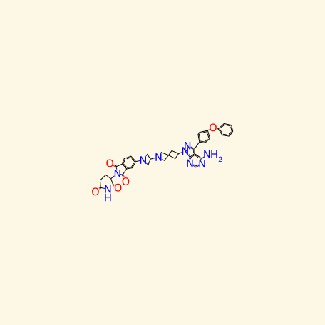 Nc1ncnc2c1c(-c1ccc(Oc3ccccc3)cc1)nn2C1CC2(C1)CN(C1CN(c3ccc4c(c3)C(=O)N(C3CCC(=O)NC3=O)C4=O)C1)C2